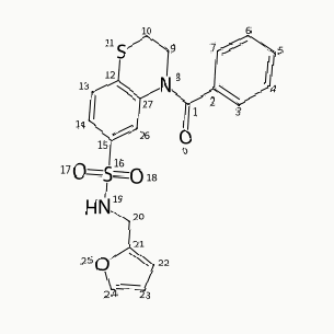 O=C(c1ccccc1)N1CCSc2ccc(S(=O)(=O)NCc3ccco3)cc21